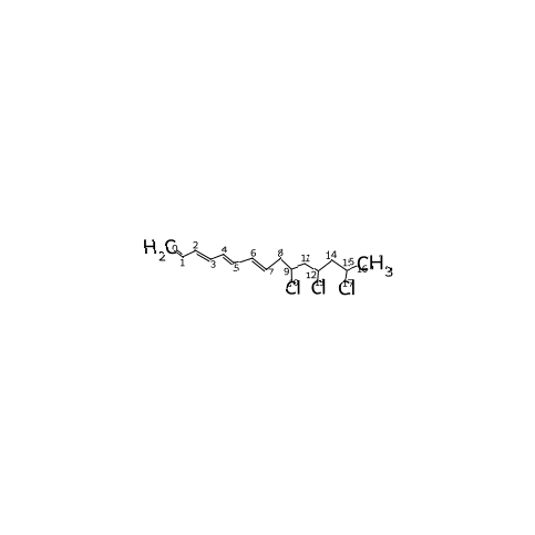 C=C/C=C/C=C/C=C/CC(Cl)CC(Cl)CC(C)Cl